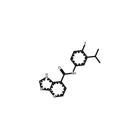 CC(C)c1cc(NC(=O)c2ccnc3nc[nH]c23)ccc1F